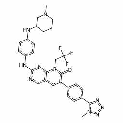 CN1CCCC(Nc2ccc(Nc3ncc4cc(-c5ccc(-c6nnnn6C)cc5)c(=O)n(CC(F)(F)F)c4n3)cc2)C1